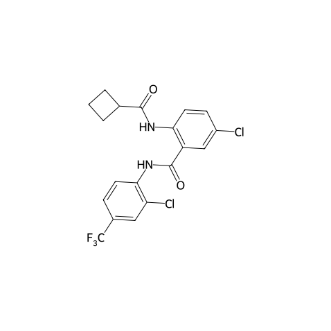 O=C(Nc1ccc(C(F)(F)F)cc1Cl)c1cc(Cl)ccc1NC(=O)C1CCC1